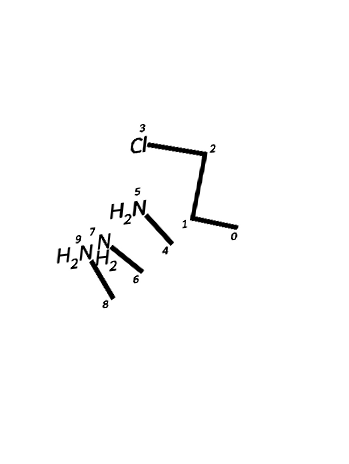 CCCCl.CN.CN.CN